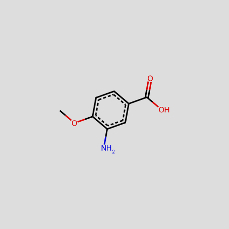 COc1ccc(C(=O)O)cc1N